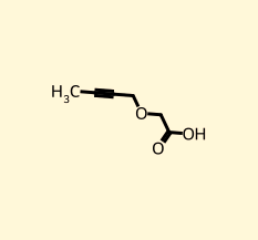 CC#CCOCC(=O)O